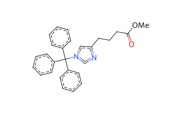 COC(=O)CCCc1cn(C(c2ccccc2)(c2ccccc2)c2ccccc2)cn1